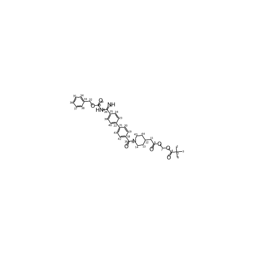 CC(C)(C)C(=O)OCOC(=O)CC1CCN(C(=O)c2ccc(-c3ccc(C(=N)NC(=O)OCc4ccccc4)cc3)cc2)CC1